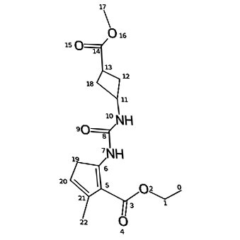 CCOC(=O)C1=C(NC(=O)NC2CC(C(=O)OC)C2)CC=C1C